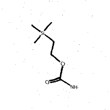 C[Si](C)(C)CCOC([NH])=O